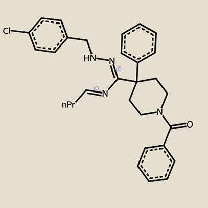 CCC/C=N/C(=N\NCc1ccc(Cl)cc1)C1(c2ccccc2)CCN(C(=O)c2ccccc2)CC1